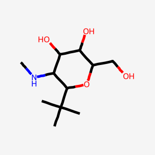 CNC1C(O)C(O)C(CO)OC1C(C)(C)C